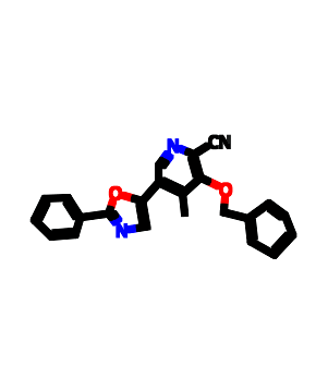 Cc1c(-c2cnc(-c3ccccc3)o2)cnc(C#N)c1OCc1ccccc1